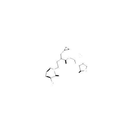 N#C[C@H](C[C@@H]1CCNC1=O)NC(=O)C(CCn1cccc(N)c1=O)CC1CC1